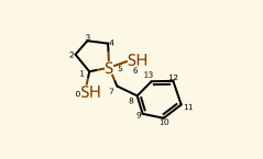 SC1CCCS1(S)Cc1ccccc1